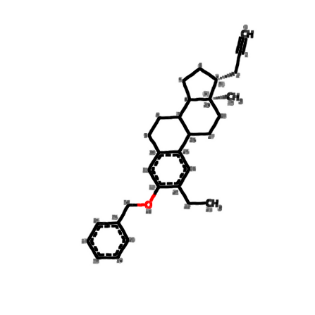 C#CC[C@H]1CCC2C3CCc4cc(OCc5ccccc5)c(CC)cc4C3CC[C@@]21C